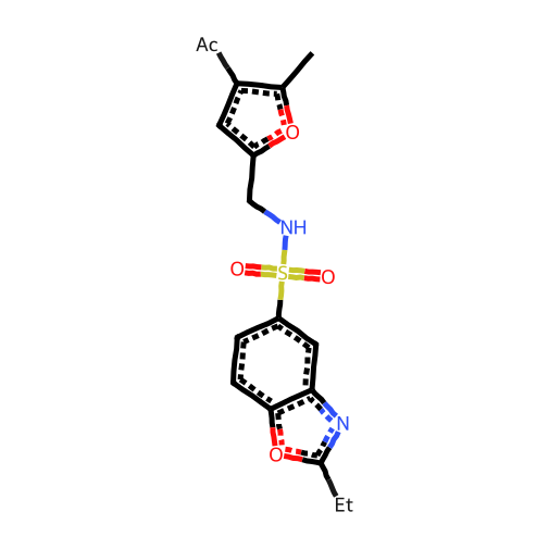 CCc1nc2cc(S(=O)(=O)NCc3cc(C(C)=O)c(C)o3)ccc2o1